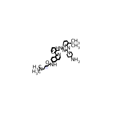 CC(C)C1=C2N=C(N3CCC(N)CC3)N=C(NCc3ccccc3-c3nccc4cc(NC(=O)/C=C/CN(C)C)ccc34)N2CC=C1